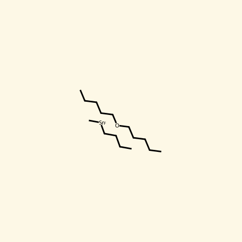 CCCCCOCCCCC.CCC[CH2][Sn][CH3]